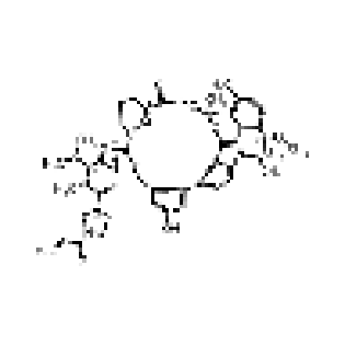 C=CC(=O)N1CC[C@H](C(=O)N(C)[C@H](C(=O)N[C@H]2Cc3cc(O)cc(c3)-c3ccc4c(c3)c(c(-c3cc(C)cnc3[C@H](C)OC)n4CC)CC(C)(C)COC(=O)[C@@H]3CCCN(N3)C2=O)C(C)C)C1